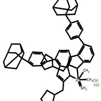 Cl.Cl.[CH3][Zr]([CH3])(=[SiH2])([CH]1C(CC2CCCC2)=Cc2c(-c3ccc(C45CC6CC(CC(C6)C4)C5)cc3)cccc21)[CH]1C(CC2CCCC2)=Cc2c(-c3ccc(C45CC6CC(CC(C6)C4)C5)cc3)cccc21